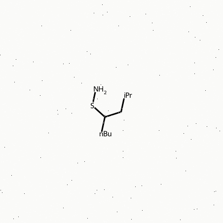 CCCC[C](CC(C)C)SN